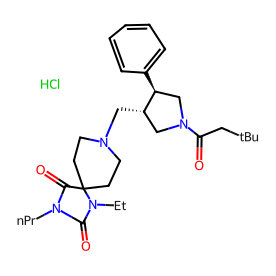 CCCN1C(=O)N(CC)C2(CCN(C[C@H]3CN(C(=O)CC(C)(C)C)C[C@@H]3c3ccccc3)CC2)C1=O.Cl